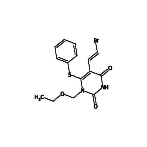 CCOCn1c(Sc2ccccc2)c(C=CBr)c(=O)[nH]c1=O